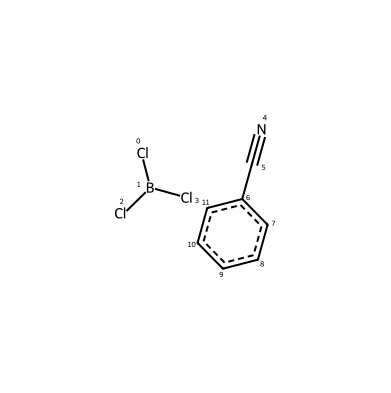 ClB(Cl)Cl.N#Cc1ccccc1